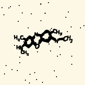 CC/N=c1/cc2oc3cc(NC)c(C)cc3nc-2cc1C